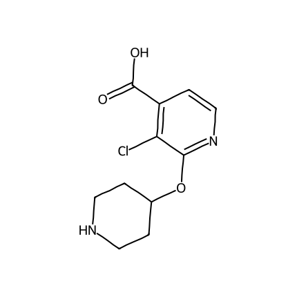 O=C(O)c1ccnc(OC2CCNCC2)c1Cl